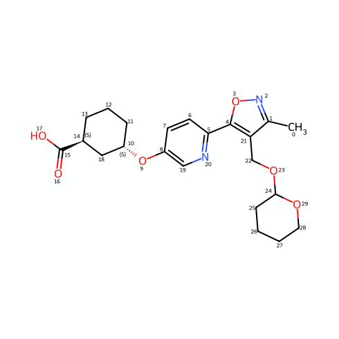 Cc1noc(-c2ccc(O[C@H]3CCC[C@H](C(=O)O)C3)cn2)c1COC1CCCCO1